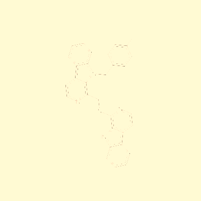 Fc1ccc(Cn2c3ccccc3c3ccnc(CNc4nccc5c4[nH]c4ccccc45)c32)cc1